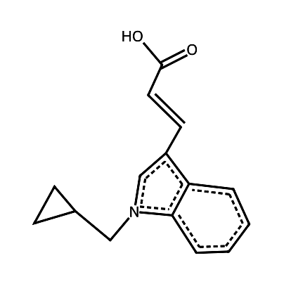 O=C(O)/C=C/c1cn(CC2CC2)c2ccccc12